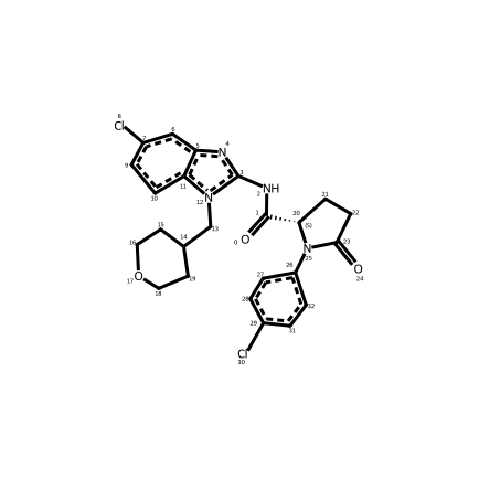 O=C(Nc1nc2cc(Cl)ccc2n1CC1CCOCC1)[C@@H]1CCC(=O)N1c1ccc(Cl)cc1